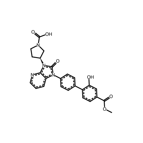 COC(=O)c1ccc(-c2ccc(-n3c(=O)n([C@H]4CCN(C(=O)O)C4)c4ncccc43)cc2)c(O)c1